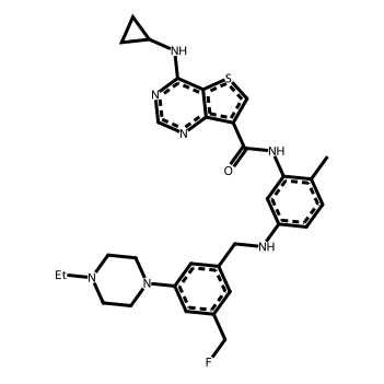 CCN1CCN(c2cc(CF)cc(CNc3ccc(C)c(NC(=O)c4csc5c(NC6CC6)ncnc45)c3)c2)CC1